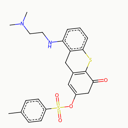 Cc1ccc(S(=O)(=O)OC2=CC3=C(Sc4cccc(NCCN(C)C)c4C3)C(=O)C2)cc1